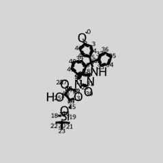 COc1ccc(C(Nc2ccn([C@@H]3O[C@H](CO[Si](C)(C)C(C)(C)C)[C@@H](O)[C@H]3OC)c(=O)n2)(c2ccccc2)c2ccccc2)cc1